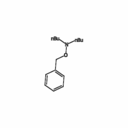 CCCCN(CCCC)OCc1ccccc1